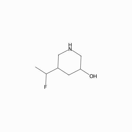 CC(F)C1CNCC(O)C1